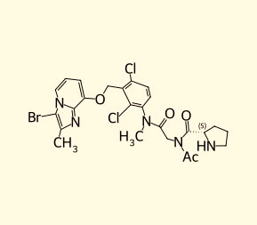 CC(=O)N(CC(=O)N(C)c1ccc(Cl)c(COc2cccn3c(Br)c(C)nc23)c1Cl)C(=O)[C@@H]1CCCN1